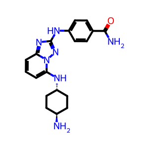 NC(=O)c1ccc(Nc2nc3cccc(N[C@H]4CC[C@H](N)CC4)n3n2)cc1